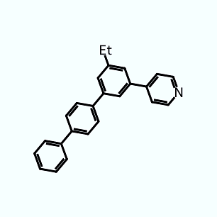 CCc1cc(-c2ccncc2)cc(-c2ccc(-c3ccccc3)cc2)c1